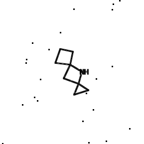 C1CC2(C1)CC1(CC1)N2